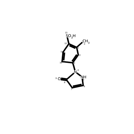 Cc1cc(-n2[nH]ccc2=O)ccc1S(=O)(=O)O